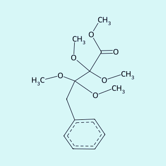 COC(=O)C(OC)(OC)C(Cc1ccccc1)(OC)OC